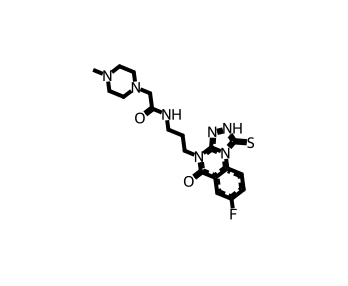 CN1CCN(CC(=O)NCCCn2c(=O)c3cc(F)ccc3n3c(=S)[nH]nc23)CC1